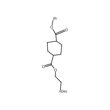 CCCCCCCCCCCCOC(=O)C1CCC(C(=O)OC(C)C)CC1